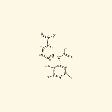 CC(=O)Oc1cc(C)cc(C)c1Oc1ncc([N+](=O)[O-])cn1